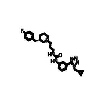 O=C(NCCCN1CCC[C@@H](Cc2ccc(F)cc2)C1)Nc1cccc(-c2nnnn2CC2CC2)c1